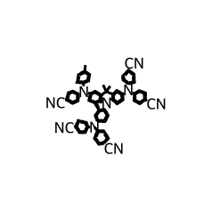 Cc1ccc(N(c2ccc(C#N)cc2)c2cc3c4c(c2)c2cc(N(c5ccc(C#N)cc5)c5ccc(C#N)cc5)ccc2n4-c2ccc(N(c4ccc(C#N)cc4)c4ccc(C#N)cc4)cc2C3(C)C)cc1